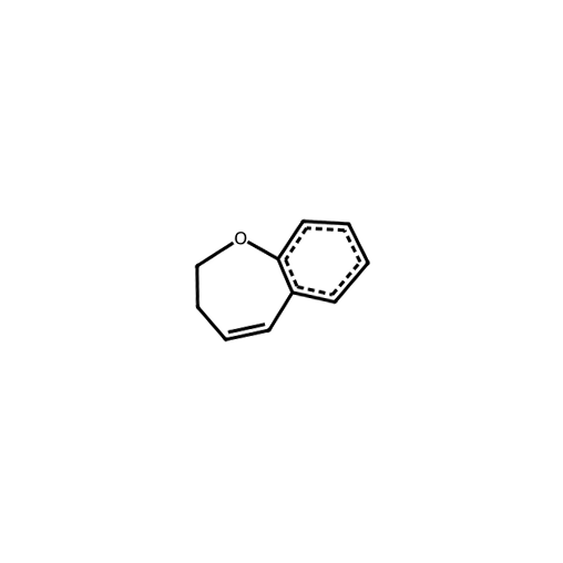 C1=Cc2ccccc2OCC1